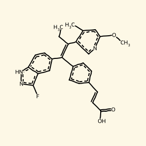 CC/C(=C(/c1ccc(/C=C/C(=O)O)cc1)c1ccc2[nH]nc(F)c2c1)c1cnc(OC)cc1C